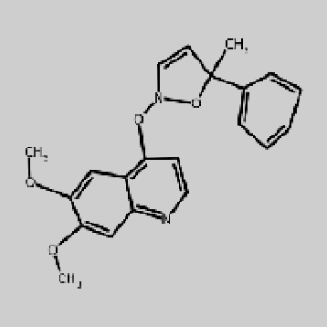 COc1cc2nccc(ON3C=CC(C)(c4ccccc4)O3)c2cc1OC